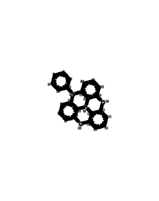 c1ccc(N2c3cccc4c3P3c5c(cccc5Oc5cccc2c53)O4)cc1